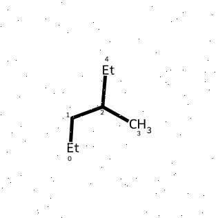 [CH2]CCC(C)C[CH2]